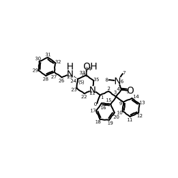 CC(CC(C(=O)N(C)C)(c1ccccc1)c1ccccc1)N1CC[C@H](NCc2ccccc2)[C@@H](O)C1